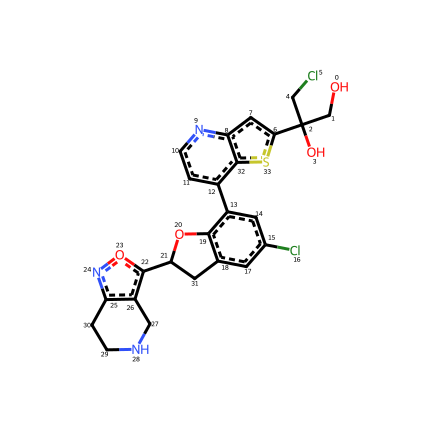 OCC(O)(CCl)c1cc2nccc(-c3cc(Cl)cc4c3OC(c3onc5c3CNCC5)C4)c2s1